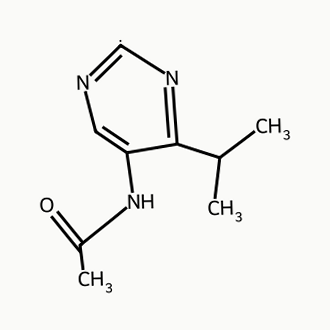 CC(=O)Nc1cn[c]nc1C(C)C